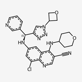 N#Cc1cnc2c(Cl)cc(N[C@@H](c3cccnc3)c3cn(C4COC4)nn3)cc2c1NC1CCOCC1